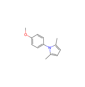 COc1ccc(-n2c(C)ccc2C)cc1